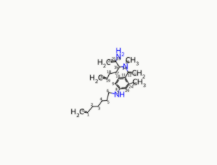 C=CCCCCCNc1ccc(C(=C)N(C)C(CCC=C)C(=C)N)c(C)c1